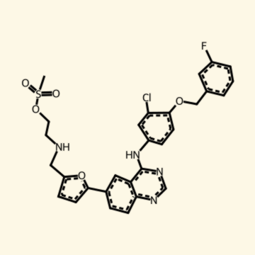 CS(=O)(=O)OCCNCc1ccc(-c2ccc3ncnc(Nc4ccc(OCc5cccc(F)c5)c(Cl)c4)c3c2)o1